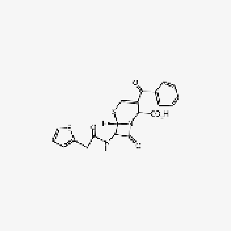 O=C(Cc1cccs1)NC1C(=O)N2C(C(=O)O)C(C(=O)c3ccccc3)=CS[C@@H]12